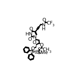 CSS[C@H](C)OC1C[C@H](n2cc(C#CCNC(=O)C(F)(F)F)c(=O)[nH]c2=O)O[C@@H]1CO[Si](c1ccccc1)(c1ccccc1)C(C)(C)C